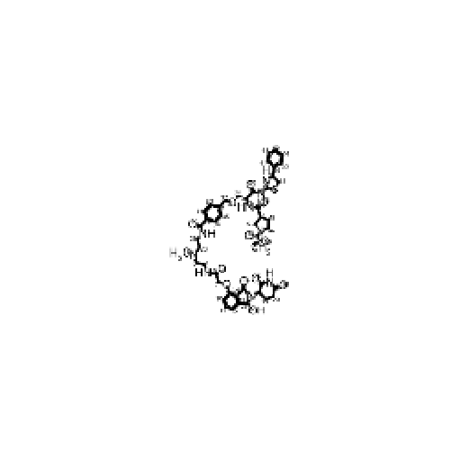 CN(CCNC(=O)COc1cccc2c1C(=O)N(C1CCC(=O)NC1=O)C2O)CCNC(=O)c1ccc(COC[C@H](NC(=O)C2CCN(S(C)(=O)=O)C2)C(=O)NC2NC(c3ccccc3)CS2)cc1